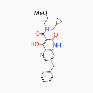 COCCN(CC1CC1)C(=O)c1c(O)c2ncc(Cc3ccccc3)cc2[nH]c1=O